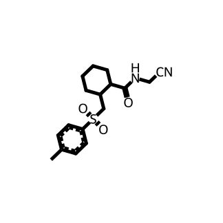 Cc1ccc(S(=O)(=O)CC2CCCCC2C(=O)NCC#N)cc1